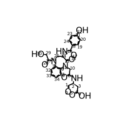 O=C[C@H](CC(=O)O)NC(=O)CN1C(=O)[C@@H](NC(=O)c2ccc(O)cc2)CN(C(=O)CO)c2ccccc21